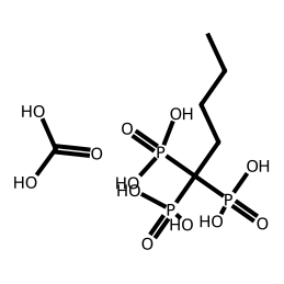 CCCCC(P(=O)(O)O)(P(=O)(O)O)P(=O)(O)O.O=C(O)O